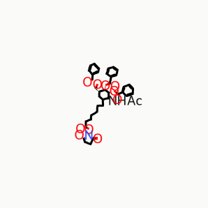 CC(=O)N[C@H]1C(CCCCCCC(=O)ON2C(=O)CCC2=O)C[C@H](COC(=O)c2ccccc2)[C@H](OC(=O)c2ccccc2)[C@@H]1OC(=O)c1ccccc1